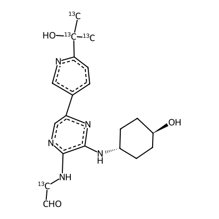 [13CH3][13C]([13CH3])(O)c1ccc(-c2cnc(N[13CH2][13CH]=O)c(N[C@H]3CC[C@H](O)CC3)n2)cn1